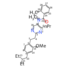 CCCc1nc(CCc2ccc(CC(CC)CC)cc2OC)ncc1N(C)C(=O)c1ccccc1C